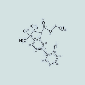 CCOC(=O)CC(C)C(C)(Cl)c1ccc(-c2ccccc2Cl)cc1